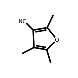 Cc1oc(C)c(C#N)c1C